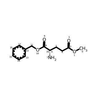 COC(=O)CC[C@H](N)C(=O)OCc1ccccc1